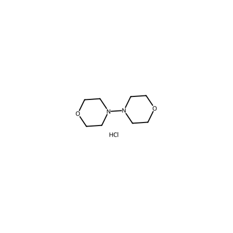 C1CN(N2CCOCC2)CCO1.Cl